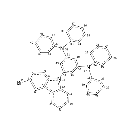 Brc1ccc2c(c1)c1ccccc1n2-c1cc(N(c2ccccc2)c2ccccc2)cc(N(c2ccccc2)c2ccccc2)c1